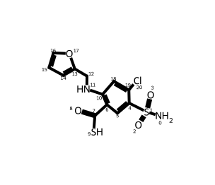 NS(=O)(=O)c1cc(C(=O)S)c(NCc2ccco2)cc1Cl